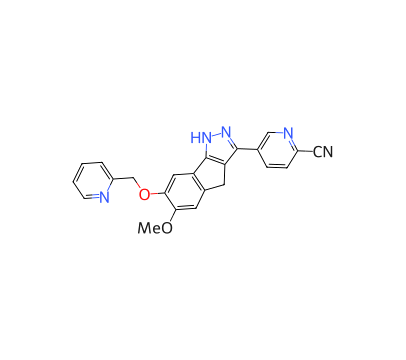 COc1cc2c(cc1OCc1ccccn1)-c1[nH]nc(-c3ccc(C#N)nc3)c1C2